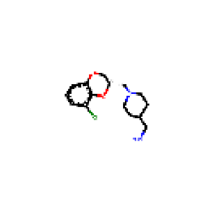 NCC1CCN(C[C@H]2COc3cccc(Cl)c3O2)CC1